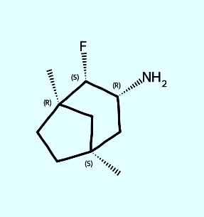 C[C@]12CC[C@](C)(C1)[C@H](F)[C@H](N)C2